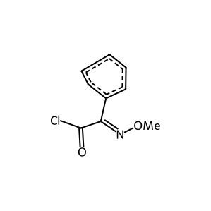 CO/N=C(/C(=O)Cl)c1ccccc1